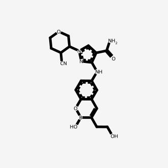 N#CC1CCOCC1n1cc(C(N)=O)c(Nc2ccc3c(c2)C=C(CCO)B(O)O3)n1